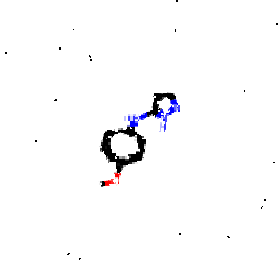 COc1ccc(Nc2ccn[nH]2)cc1